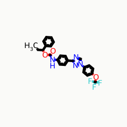 CCC(OC(=O)Nc1ccc(-c2ncn(-c3ccc(OC(F)(F)F)cc3)n2)cc1)c1ccccc1